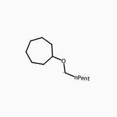 [CH2]CCCC[CH]OC1CCCCCC1